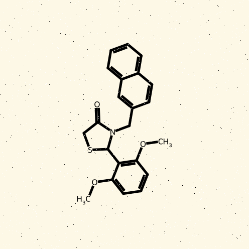 COc1cccc(OC)c1C1SCC(=O)N1Cc1ccc2ccccc2c1